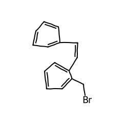 BrCc1ccccc1/C=C\c1ccccc1